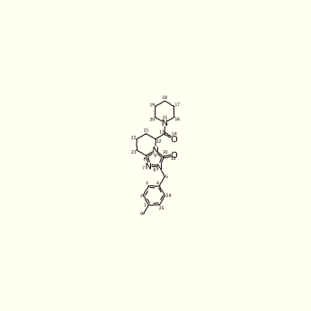 Cc1ccc(Cn2nc3n(c2=O)C(C(=O)N2CCCCC2)CCC3)cc1